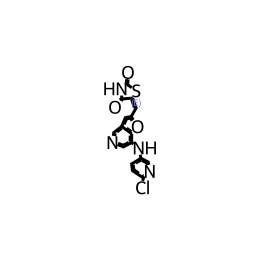 O=C1NC(=O)/C(=C\c2cc3cncc(Nc4ccc(Cl)nc4)c3o2)S1